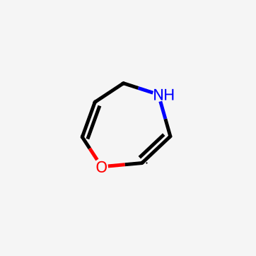 [C]1=CNCC=CO1